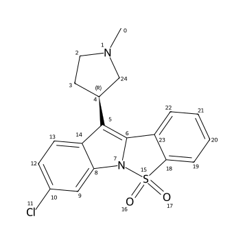 CN1CC[C@H](c2c3n(c4cc(Cl)ccc24)S(=O)(=O)c2ccccc2-3)C1